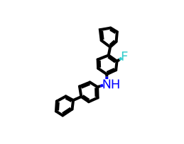 Fc1cc(Nc2ccc(-c3ccccc3)cc2)ccc1-c1ccccc1